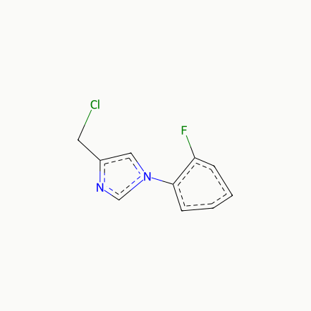 Fc1ccccc1-n1cnc(CCl)c1